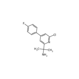 CC(C)(N)c1cc(-c2ccc(F)cc2)cc(Cl)n1